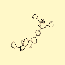 CC1(C)c2ccc(-c3ccc(-c4cc(-c5ccccc5)nc(-c5ccccc5)n4)cc3)cc2-c2cnc3c(cnn3-c3ccccc3)c21